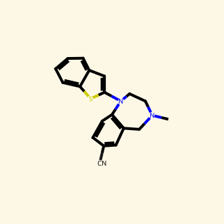 CN1CCN(c2cc3ccccc3s2)c2ccc(C#N)cc2C1